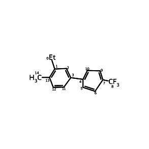 CCc1cc(-c2ccc(C(F)(F)F)cc2)ccc1C